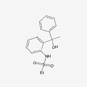 CCS(=O)(=O)Nc1ccccc1C(C)(O)c1ccccc1